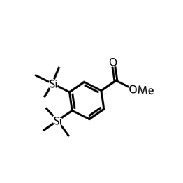 COC(=O)c1ccc([Si](C)(C)C)c([Si](C)(C)C)c1